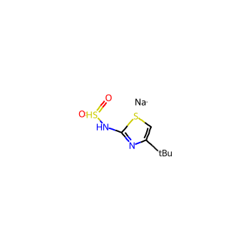 CC(C)(C)c1csc(N[SH](=O)=O)n1.[Na]